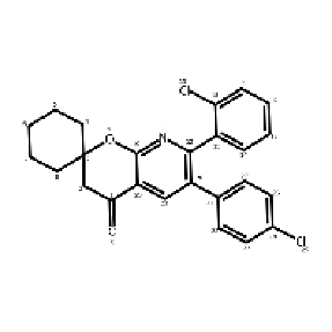 O=C1CC2(CCCCC2)Oc2nc(-c3ccccc3Cl)c(-c3ccc(Cl)cc3)cc21